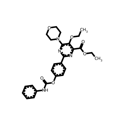 CCOC(=O)c1nc(-c2ccc(OC(=O)Nc3ccccc3)cc2)nc(N2CCOCC2)c1OCC